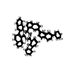 c1ccc(-c2ccc3ccc(-c4ccc5cccc(-c6nc(-c7c(-c8ccc9ccccc9c8)ccc8ccccc78)nc(-c7cccc8c7sc7ccccc78)n6)c5c4)cc3c2)cc1